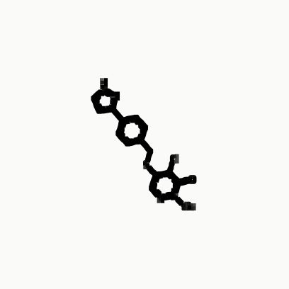 CC(C)(C)n1ncc(SCc2ccc(-c3cc[nH]n3)cc2)c(Cl)c1=O